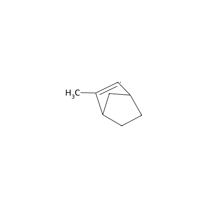 CC1=[C]C2CCC1C2